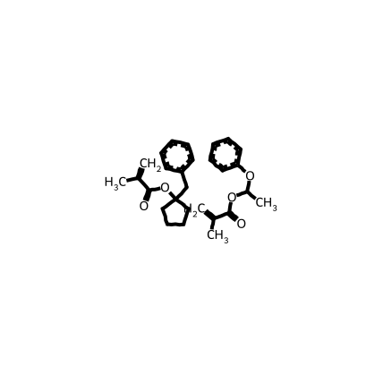 C=C(C)C(=O)OC(C)Oc1ccccc1.C=C(C)C(=O)OC1(Cc2ccccc2)CCCC1